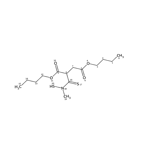 CCCCOC(=O)CC(C(=O)OCCCC)C(=S)N(C)S